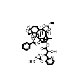 C=C[C@@H]1O[C@@H]2C3=C(C)[C@@H](OC(=O)[C@H](O)[C@@H](NC(=O)OC(C)(C)C)c4ccccn4)C[C@@](O)([C@@H](OC(=O)c4ccccc4)[C@H]4[C@@](C)(CC[C@H]5OC[C@]54OC(C)=O)[C@@H]2O1)C3(C)C